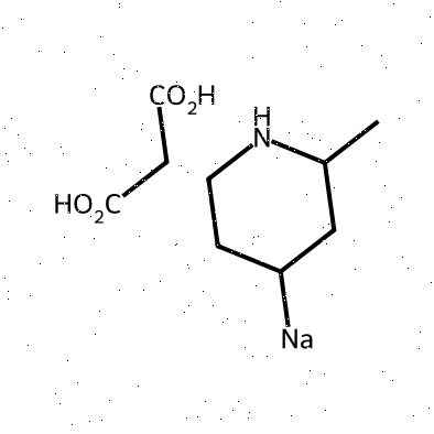 CC1C[CH]([Na])CCN1.O=C(O)CC(=O)O